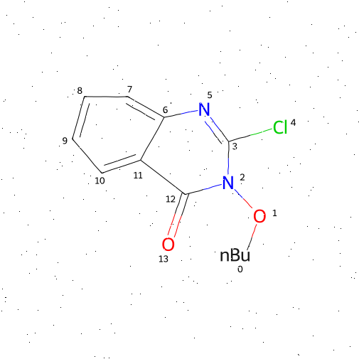 CCCCOn1c(Cl)nc2ccccc2c1=O